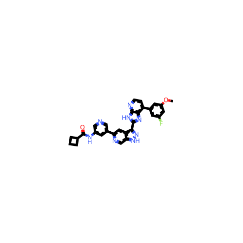 COc1cc(F)cc(-c2ccnc3[nH]c(-c4n[nH]c5cnc(-c6cncc(NC(=O)C7CCC7)c6)cc45)nc23)c1